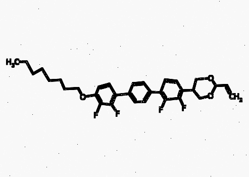 C=CC1OCC(c2ccc(-c3ccc(-c4ccc(OCCCCCCCC)c(F)c4F)cc3)c(F)c2F)CO1